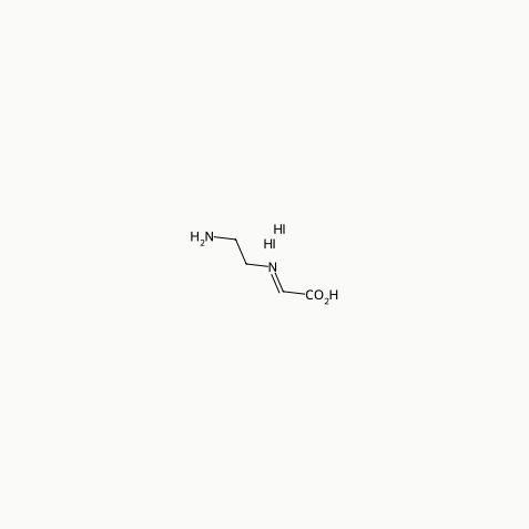 I.I.NCCN=CC(=O)O